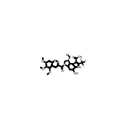 COc1cc2nnc(C(=O)N3C[C@@H](CCl)c4c3cc(O)c3[nH]c(C(F)(F)F)c(C(=O)O)c43)cc2c(OC)c1OC